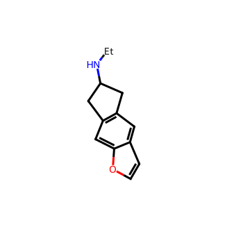 CCNC1Cc2cc3ccoc3cc2C1